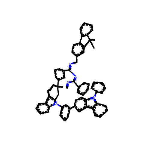 C=N/C(=N\C(=N/Cc1ccc2c(c1)C(C)(C)c1ccccc1-2)c1cccc(C2(C)C=Cc3c(n(-c4cccc(-c5ccc6c(c5)c5ccccc5n6-c5ccccc5)c4)c4ccccc34)C2)c1)c1ccccc1